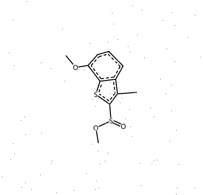 COc1cccc2c(C)c(S(=O)OC)sc12